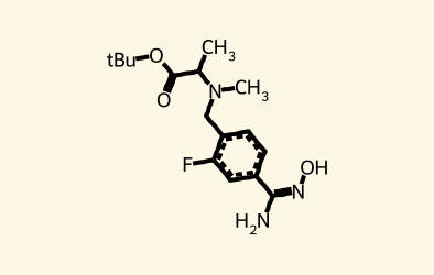 CC(C(=O)OC(C)(C)C)N(C)Cc1ccc(/C(N)=N\O)cc1F